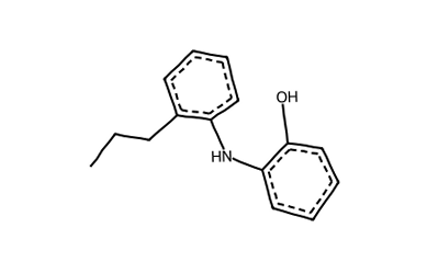 CCCc1ccccc1Nc1ccccc1O